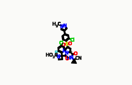 Cn1cc(-c2ccc(S(=O)(=O)[C@@H]3C[C@@H](C(=O)NC4(C#N)CC4)N(C(=O)C4(c5ncc(Cl)cc5F)CCN4C(=O)O)C3)c(Cl)c2)cn1